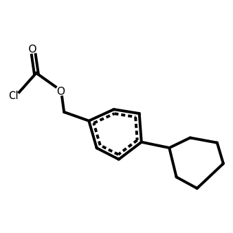 O=C(Cl)OCc1ccc(C2CCCCC2)cc1